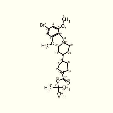 COc1cc(Br)cc(OC)c1CN1CCC(C2CCN(C(=O)OC(C)(C)C)CC2)CC1